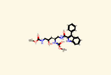 CC(C)(C)OC(=O)NCC(O)C[C@@H](CNC(=O)c1[nH]c2ccccc2c1-c1ccccc1)NC(=O)OC(C)(C)C